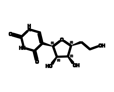 O=c1[nH]cc([C@@H]2O[C@H](CCO)[C@@H](O)[C@H]2O)c(=O)[nH]1